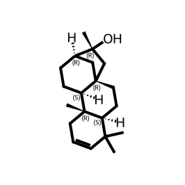 CC1(C)C=CC[C@@]2(C)[C@H]1CC[C@]13C[C@@H](CC[C@@H]12)[C@](C)(O)C3